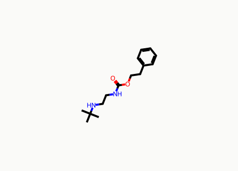 CC(C)(C)NCCNC(=O)OCCc1ccccc1